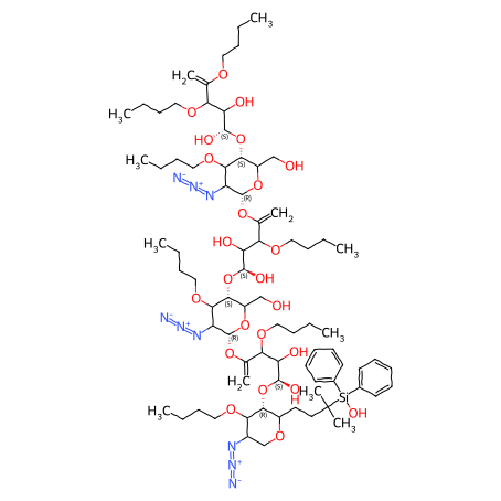 C=C(O[C@H]1OC(CO)[C@@H](O[C@H](O)C(O)C(OCCCC)C(=C)O[C@H]2OC(CO)[C@@H](O[C@H](O)C(O)C(OCCCC)C(=C)OCCCC)C(OCCCC)C2N=[N+]=[N-])C(OCCCC)C1N=[N+]=[N-])C(OCCCC)C(O)[C@@H](O)O[C@@H]1C(CCC(C)(C)[Si](O)(c2ccccc2)c2ccccc2)OCC(N=[N+]=[N-])C1OCCCC